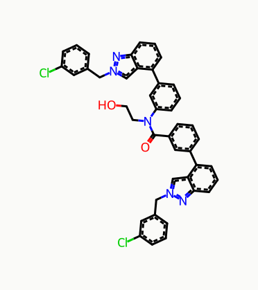 O=C(c1cccc(-c2cccc3nn(Cc4cccc(Cl)c4)cc23)c1)N(CCO)c1cccc(-c2cccc3nn(Cc4cccc(Cl)c4)cc23)c1